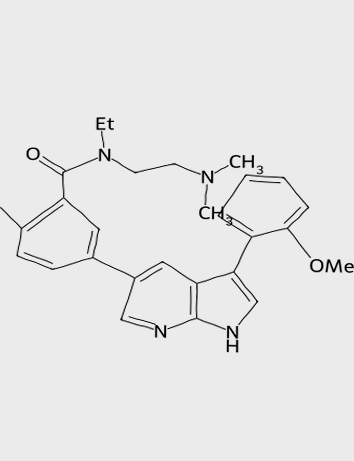 CCN(CCN(C)C)C(=O)c1cc(-c2cnc3[nH]cc(-c4ccccc4OC)c3c2)ccc1F